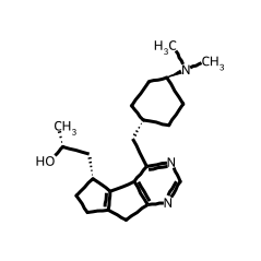 C[C@@H](O)C[C@H]1CCC2=C1c1c(ncnc1C[C@H]1CC[C@H](N(C)C)CC1)C2